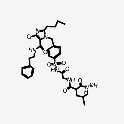 CCCCc1nc(Cl)c(C(=O)NCCc2ccccc2)n1Cc1ccc(S(=O)(=O)NC(=O)CNC(=O)C(CC(C)C)C(=O)NO)cc1